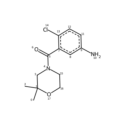 CC1(C)CN(C(=O)c2cc(N)ccc2Cl)CCO1